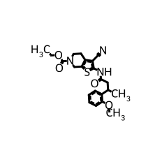 CCOC(=O)N1CCc2c(sc(NC(=O)CC(C)c3ccccc3OC)c2C#N)C1